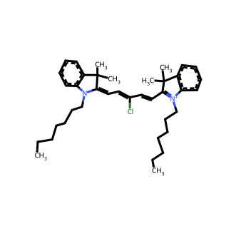 CCCCCCCN1/C(=C/C=C(Cl)/C=C/C2=[N+](CCCCCCC)c3ccccc3C2(C)C)C(C)(C)c2ccccc21